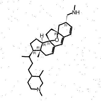 CNC[C@@H]1C=CC2=CC3=CC[C@]4(C)[C@@H](C(C)CCC5CCN(C)CC5C)CC[C@H]4[C@@]34CC[C@]2(C1)O4